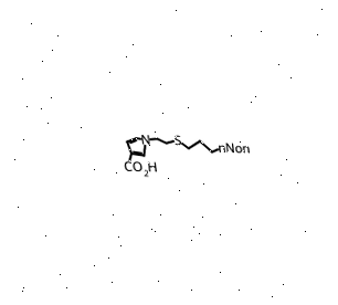 CCCCCCCCCCCCSCCn1ccc(C(=O)O)c1